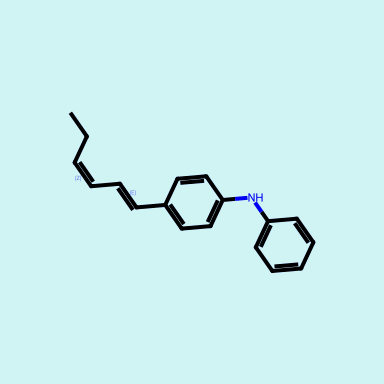 CC/C=C\C=C\c1ccc(Nc2ccccc2)cc1